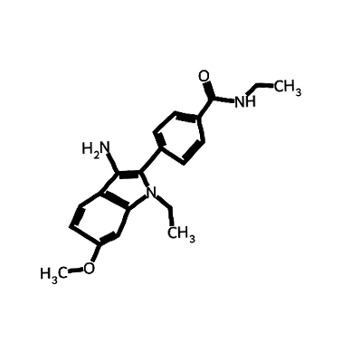 CCNC(=O)c1ccc(-c2c(N)c3ccc(OC)cc3n2CC)cc1